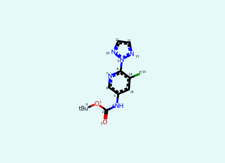 CC(C)(C)OC(=O)Nc1cnc(-n2nccn2)c(F)c1